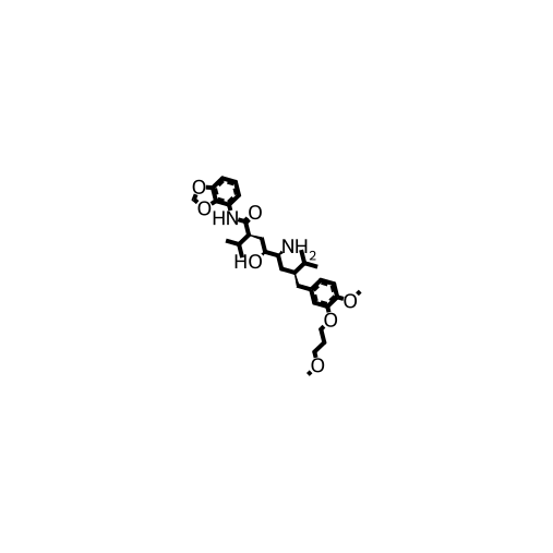 COCCCOc1cc(C[C@@H](C[C@H](N)[C@@H](O)C[C@H](C(=O)Nc2cccc3c2OCO3)C(C)C)C(C)C)ccc1OC